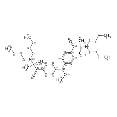 CCCCN(CCCC)C(C)(C)C(=O)c1ccc(C(OC)c2ccc(C(=O)C(C)(C)N(CCCC)CCCC)cc2)cc1